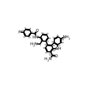 NCc1c(NC(=O)c2ccc(F)cc2)cccc1-c1ccc(C(N)=O)c2[nH]c3cc(N)ccc3c12